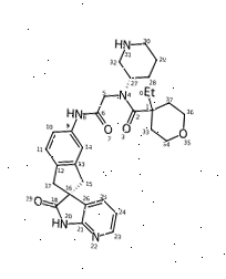 CCC1(C(=O)N(CC(=O)Nc2ccc3c(c2)C[C@@]2(C3)C(=O)Nc3ncccc32)[C@H]2CCCNC2)CCOCC1